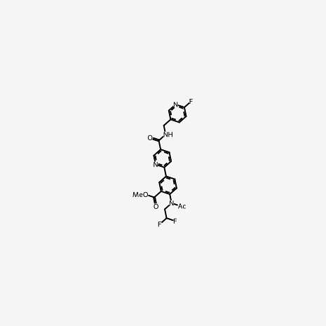 COC(=O)c1cc(-c2ccc(C(=O)NCc3ccc(F)nc3)cn2)ccc1N(CC(F)F)C(C)=O